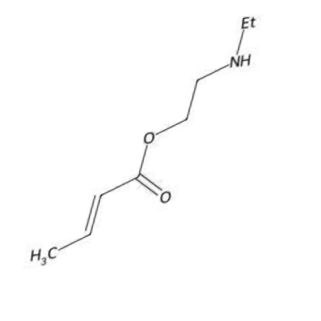 CC=CC(=O)OCCNCC